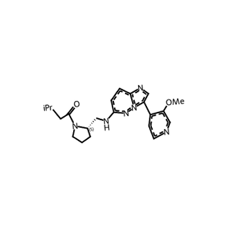 COc1cnccc1-c1cnc2ccc(NC[C@@H]3CCCN3C(=O)CC(C)C)nn12